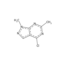 Cc1nc(Cl)c2cnn(C)c2n1